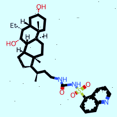 CC[C@H]1[C@@H](O)[C@@H]2[C@H](CC[C@]3(C)[C@@H]([C@H](C)CCNC(=O)NS(=O)(=O)c4cccc5ncccc45)CC[C@@H]23)[C@@]2(C)CC[C@@H](O)C[C@@H]12